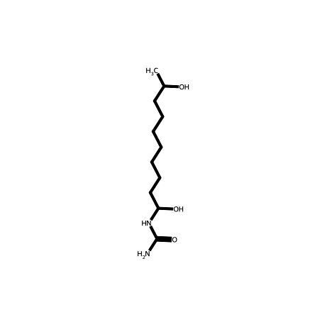 CC(O)CCCCCCCC(O)NC(N)=O